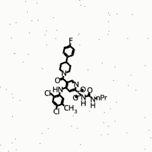 CCCNC(=O)NS(=O)(=O)c1cc(Nc2cc(C)c(Cl)cc2Cl)c(C(=O)N2CCC(c3ccc(F)cc3)CC2)cn1